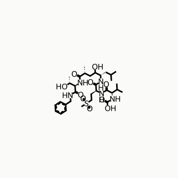 CC(C)C[C@H](NC(=O)[C@H](CCS(C)(=O)=O)NC(=O)[C@@H](NC(=O)O)C(C)C)C(O)C[C@@H](C)C(=O)N[C@@H](C(=O)NCc1ccccc1)[C@@H](C)O